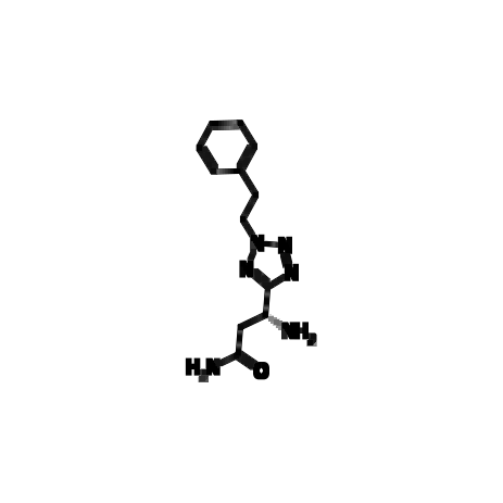 NC(=O)C[C@@H](N)c1nnn(CCc2ccccc2)n1